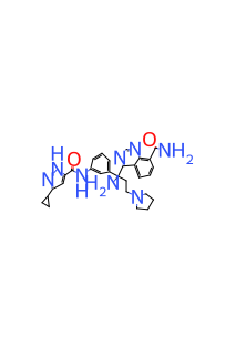 NC(=O)c1cccc2c(C(N)(CCN3CCCC3)c3cccc(NC(=O)c4cc(C5CC5)n[nH]4)c3)ncnc12